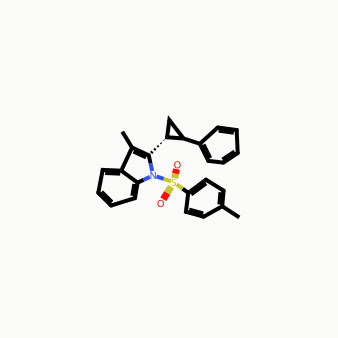 Cc1ccc(S(=O)(=O)n2c([C@@H]3CC3c3ccccc3)c(C)c3ccccc32)cc1